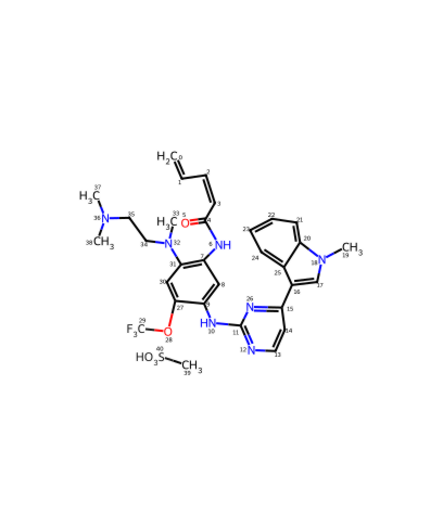 C=C/C=C\C(=O)Nc1cc(Nc2nccc(-c3cn(C)c4ccccc34)n2)c(OC(F)(F)F)cc1N(C)CCN(C)C.CS(=O)(=O)O